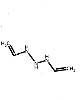 C=CNNNC=C